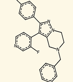 Fc1ccc(-c2nn3c(c2-c2ccncc2F)CN(Cc2ccccc2)CC3)cc1